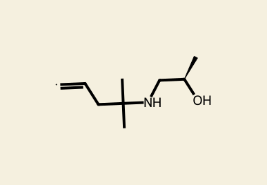 [CH]=CCC(C)(C)NC[C@@H](C)O